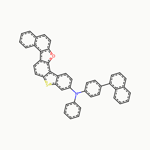 c1ccc(N(c2ccc(-c3cccc4ccccc34)cc2)c2ccc3c(c2)sc2ccc4c(oc5ccc6ccccc6c54)c23)cc1